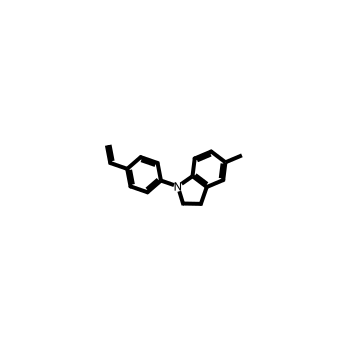 C=Cc1ccc(N2CCc3cc(C)ccc32)cc1